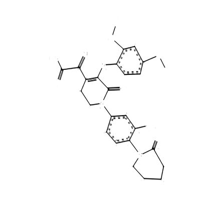 COc1ccc(NC2=C(C(=N)C(N)=O)CCN(c3ccc(N4CCCCC4=O)c(C)c3)C2=O)c(OC)c1